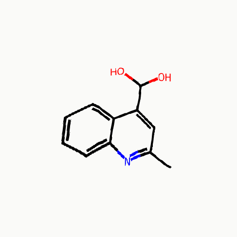 Cc1cc(C(O)O)c2ccccc2n1